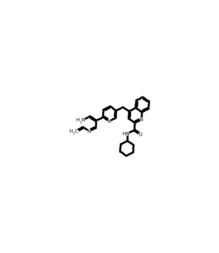 C=C/N=C\C(=C/N)c1ccc(Cc2cc(C(=O)NC3CCCCC3)nc3ccccc23)cn1